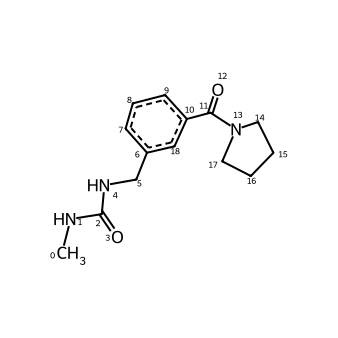 CNC(=O)NCc1cccc(C(=O)N2CCCC2)c1